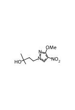 COc1nn(CCC(C)(C)O)cc1[N+](=O)[O-]